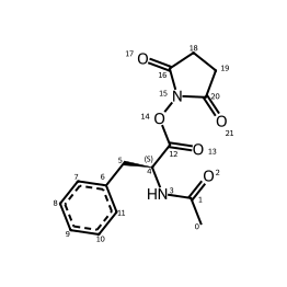 CC(=O)N[C@@H](Cc1ccccc1)C(=O)ON1C(=O)CCC1=O